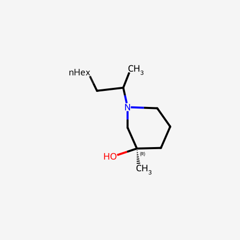 CCCCCCCC(C)N1CCC[C@@](C)(O)C1